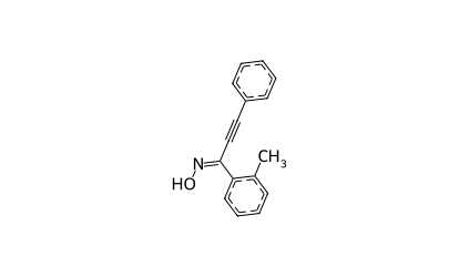 Cc1ccccc1/C(C#Cc1ccccc1)=N\O